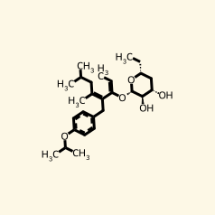 C/C=C(O[C@@H]1O[C@H](CC)C[C@H](O)[C@H]1O)\C(Cc1ccc(OC(C)C)cc1)=C(\C)CC(C)C